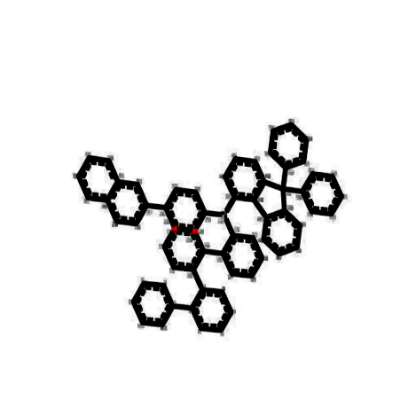 c1ccc(-c2ccccc2-c2ccccc2-c2ccccc2N(c2ccc(-c3ccc4ccccc4c3)cc2)c2cccc3c2-c2ccccc2C3(c2ccccc2)c2ccccc2)cc1